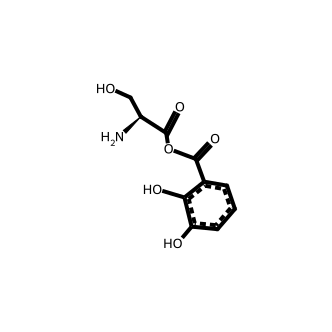 N[C@@H](CO)C(=O)OC(=O)c1cccc(O)c1O